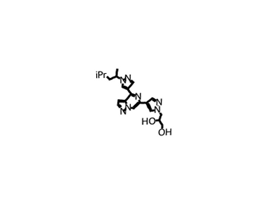 CC(C)CC(C)n1cc(-c2nc(-c3cnn(CC(O)CO)c3)cn3nccc23)cn1